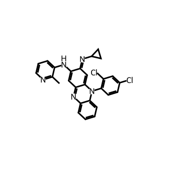 Cc1ncccc1Nc1cc2nc3ccccc3n(-c3ccc(Cl)cc3Cl)c-2c/c1=N\C1CC1